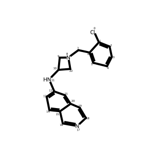 Clc1ccccc1CN1CC(Nc2ccc3cnccc3c2)C1